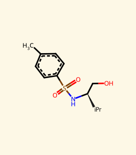 Cc1ccc(S(=O)(=O)N[C@@H](CO)C(C)C)cc1